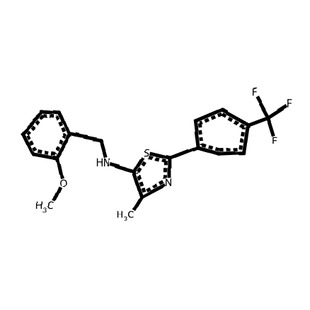 COc1ccccc1CNc1sc(-c2ccc(C(F)(F)F)cc2)nc1C